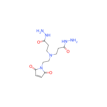 NNC(=O)CCN(CCC(=O)NN)CCN1C(=O)C=CC1=O